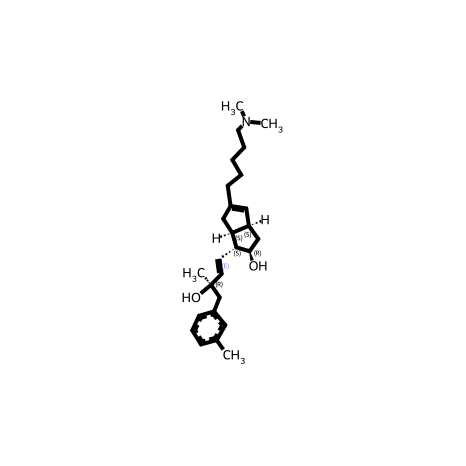 Cc1cccc(C[C@@](C)(O)/C=C/[C@@H]2[C@H]3CC(CCCCCN(C)C)=C[C@H]3C[C@H]2O)c1